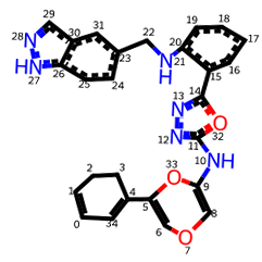 C1=CCCC(C2=COC=C(Nc3nnc(-c4ccccc4NCc4ccc5[nH]ncc5c4)o3)O2)=C1